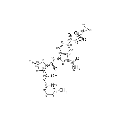 Cc1cccc(C[C@@H](O)[C@H]2C[C@@H](F)CN2C(=O)Cn2cc(C(N)=O)c3cc(C(=O)NS(=O)(=O)C4CC4)ccc32)n1